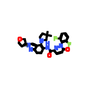 CC1(C)CCN(c2c(NC(=O)c3ccc(=O)n(-c4c(F)cccc4F)n3)ccc3nn([C@@H]4CCOC4)cc23)C1